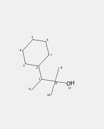 CC(C1CCCCC1)C(C)(C)O